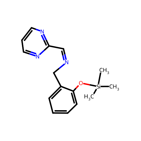 C[Si](C)(C)Oc1ccccc1C/N=C\c1ncccn1